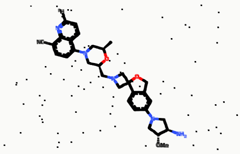 [2H]c1ccc2c(N3C[C@H](CN4CC5(C4)OCc4cc(N6C[C@@H](N)[C@H](OC)C6)ccc45)O[C@H](C)C3)ccc(C#N)c2n1